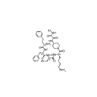 CCNC(=O)C(=O)NC1CCN(C(=O)[C@@H](CCCCN)NC(=O)[C@@H](CC(C)C)NC(=O)[C@@H](Cc2ccccc2)NC(=O)[C@H](N)CCc2ccccc2)CC1